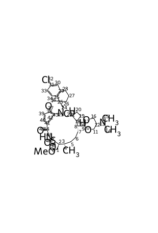 COC[C@@H]1[C@@H](C)CCC[C@@H]([C@H]2OC[C@@H](N(C)C)CO2)[C@@H]2CC[C@H]2CN2C[C@@]3(CCCc4cc(Cl)ccc43)COc3ccc(cc32)C(=O)NS1(=O)=O